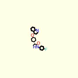 CC(C(=O)Nc1ccc(F)cc1)[C@H]1CC[C@@H](Oc2ccnc3ccccc23)CC1